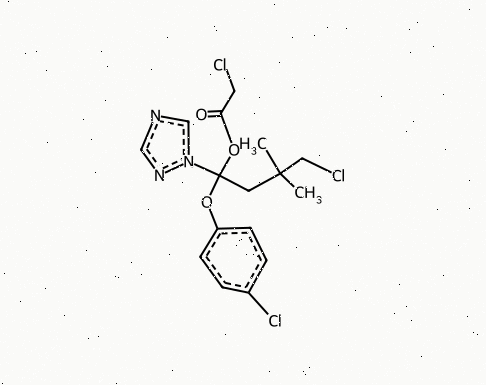 CC(C)(CCl)CC(OC(=O)CCl)(Oc1ccc(Cl)cc1)n1cncn1